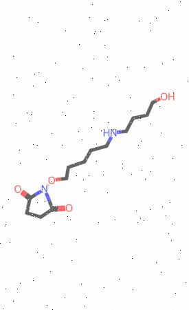 O=C1CCC(=O)N1OCCCCCNCCCCO